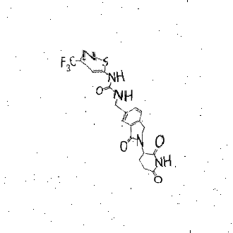 O=C1CCC(N2Cc3ccc(CNC(=O)Nc4cc(C(F)(F)F)ns4)cc3C2=O)C(=O)N1